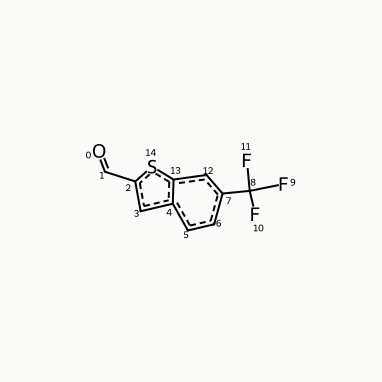 O=Cc1cc2ccc(C(F)(F)F)cc2s1